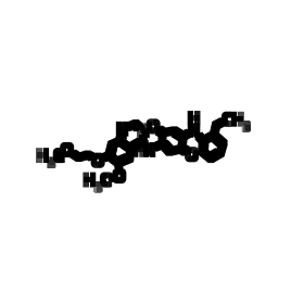 CCc1ccccc1NC1=CC(=O)C(Nc2ncnc3cc(OCCOC)c(OC)cc23)=CC1=O